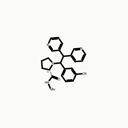 CCCCNC(=O)[C@@H]1CCCN1C(c1cccc(C#N)c1)C(c1cccnc1)c1cccnc1